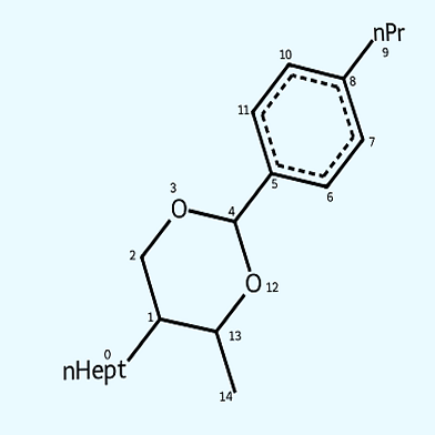 CCCCCCCC1COC(c2ccc(CCC)cc2)OC1C